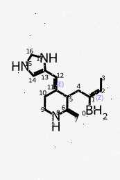 B/C(=C/C)CC1C(=C)NCC/C1=C\C1=CNCN1